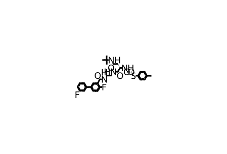 Cc1ccc(SOON[C@@H](CC(=O)NC(C)(C)C)C(=O)NCCNC(=O)c2cc(-c3cccc(F)c3)ccc2F)cc1